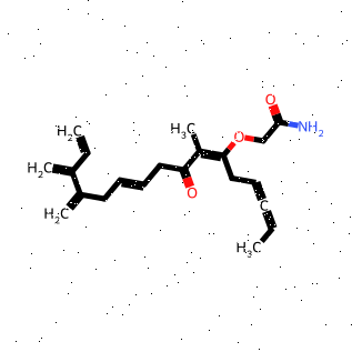 C=CC(=C)C(=C)C/C=C/CC(=O)/C(C)=C(\CC=C=CC)OCC(N)=O